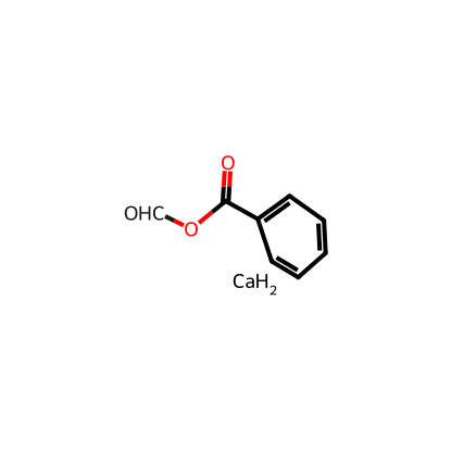 O=COC(=O)c1ccccc1.[CaH2]